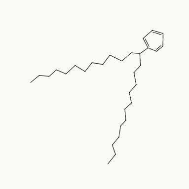 CCCCCCCCCCCCC(CCCCCCCCCCCC)c1ccccc1